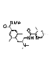 CNC(=O)c1cc(C)c(C[C@@H](CNC(=O)c2ncc(C)cc2C)N(C)C)c(C)c1